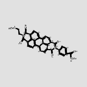 CCCCCCCCCCCCN1C(=O)c2ccc3c4ccc5c6c(ccc(c7ccc(c2c37)C1=O)c64)C(=O)N(c1ccc(C(=O)NC)cc1)C5=O